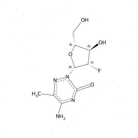 Cc1nn([C@@H]2O[C@H](CO)[C@@H](O)[C@@H]2F)c(=O)nc1N